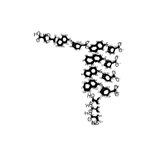 C=C(C)C(=O)O.C=C(C)C(=O)O.C=C(C)C(=O)O.C=C(C)C(=O)O.C=C(C)C(=O)O.O=C([O-])C1CC2CC(Sc3ccc4ccccc4c3)C1C2.O=C([O-])C1CC2CC(Sc3ccc4ccccc4c3)C1C2.O=C([O-])C1CC2CC(Sc3ccc4ccccc4c3)C1C2.O=C([O-])C1CC2CC(Sc3ccc4ccccc4c3)C1C2.O=C([O-])C1CC2CC(Sc3ccc4ccccc4c3)C1C2.[Nb+5]